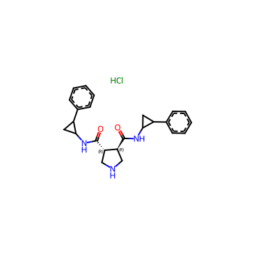 Cl.O=C(NC1CC1c1ccccc1)[C@H]1CNC[C@@H]1C(=O)NC1CC1c1ccccc1